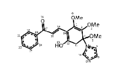 COC1=C(OC)C(OC)(n2ccnc2)CC(O)=C1/C=C/C(=O)c1ccccc1